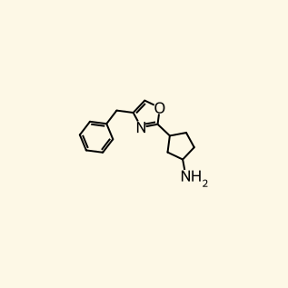 NC1CCC(c2nc(Cc3ccccc3)co2)C1